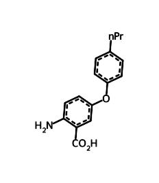 CCCc1ccc(Oc2ccc(N)c(C(=O)O)c2)cc1